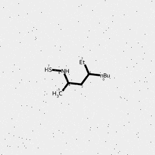 CCCCC(CC)CC(C)NS